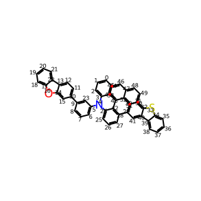 c1ccc(N(c2cccc(-c3ccc4c(c3)oc3ccccc34)c2)c2cccc(-c3ccc4sc5ccccc5c4c3)c2-c2cccc3ccccc23)cc1